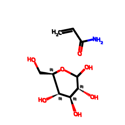 C=CC(N)=O.OC[C@H]1OC(O)[C@H](O)[C@@H](O)[C@@H]1O